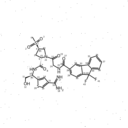 CS(=O)(=O)[C@@H]1C[C@@H](C(=O)N[C@H](CO)c2cc(C(=N)N)cs2)N(C(=O)CNC(=O)c2ccc3c(c2)-c2ccccc2C3(F)F)C1